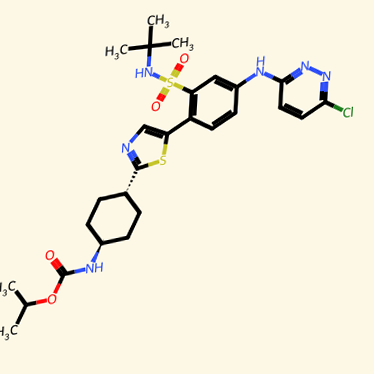 CC(C)OC(=O)N[C@H]1CC[C@H](c2ncc(-c3ccc(Nc4ccc(Cl)nn4)cc3S(=O)(=O)NC(C)(C)C)s2)CC1